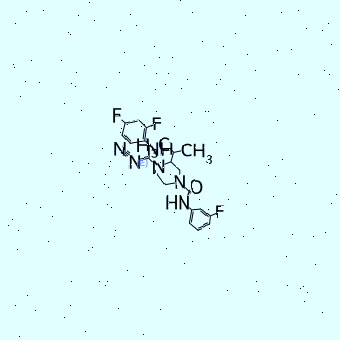 CC(C)C1CN(C(=O)Nc2cccc(F)c2)CCN1/C(=N/C#N)Nc1ccc(F)cc1F